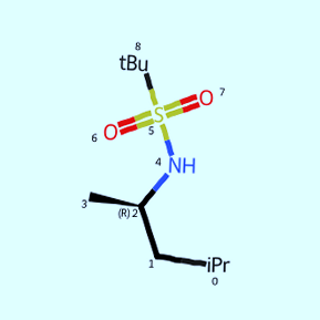 CC(C)C[C@@H](C)NS(=O)(=O)C(C)(C)C